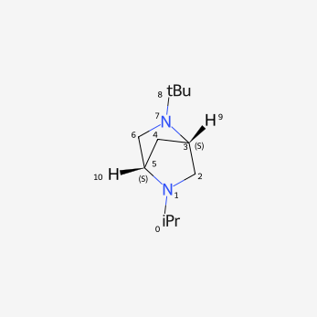 CC(C)N1C[C@@H]2C[C@H]1CN2C(C)(C)C